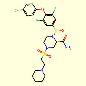 NC(=O)[C@H]1CN(S(=O)(=O)CCN2CCCCC2)CCN1[S+]([O-])c1cc(F)c(Oc2ccc(Cl)cc2)c(F)c1